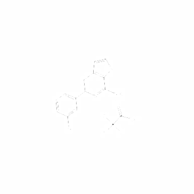 NC1=NC(c2cccc(Br)c2)Cc2ccsc21.O=C(O)C(F)(F)F